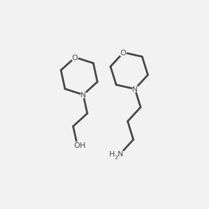 NCCCN1CCOCC1.OCCN1CCOCC1